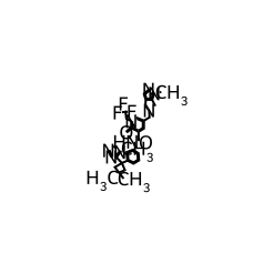 Cn1cnnc1C1(c2cccc(NC(=O)c3cc(CN4Cc5cnn(C)c5C4)cn(CC(F)(F)F)c3=O)c2)CC(C)(C)C1